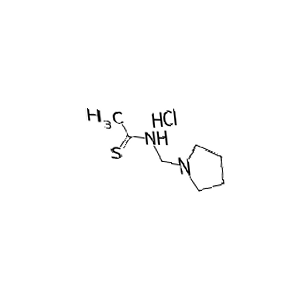 CC(=S)NCN1CCCC1.Cl